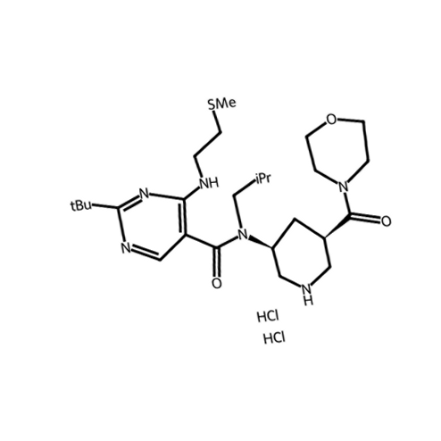 CSCCNc1nc(C(C)(C)C)ncc1C(=O)N(CC(C)C)[C@@H]1CNC[C@H](C(=O)N2CCOCC2)C1.Cl.Cl